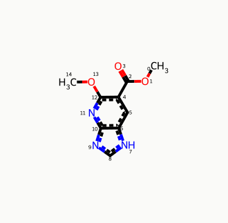 COC(=O)c1cc2[nH]cnc2nc1OC